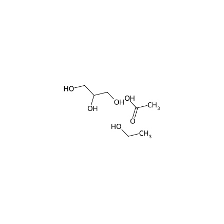 CC(=O)O.CCO.OCC(O)CO